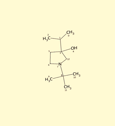 CC(C)C1(O)CCN(C(C)(C)C)C1